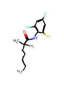 CCCCCC(C)(C)C(=O)Nc1c(F)cc(F)cc1S